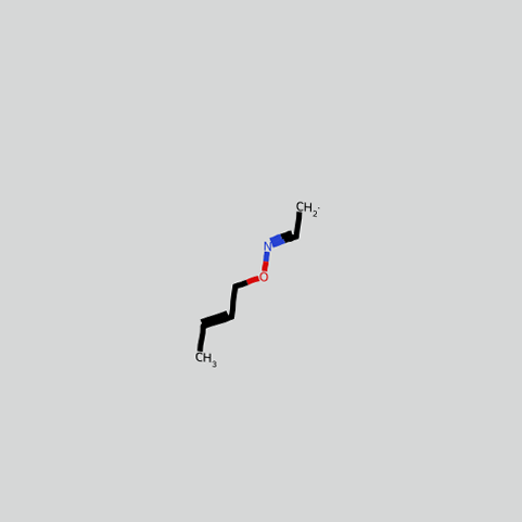 [CH2]C=NOCC=CC